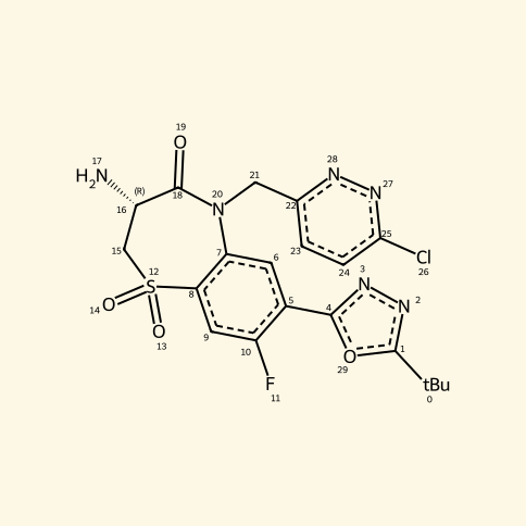 CC(C)(C)c1nnc(-c2cc3c(cc2F)S(=O)(=O)C[C@H](N)C(=O)N3Cc2ccc(Cl)nn2)o1